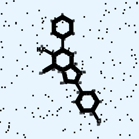 Cn1c(-c2ccccc2)nc2nc(-c3ccc(Cl)cc3)nn2c1=S